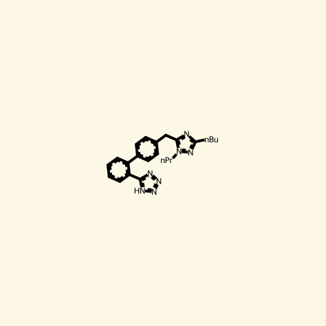 CCCCc1nc(Cc2ccc(-c3ccccc3-c3nnn[nH]3)cc2)n(CCC)n1